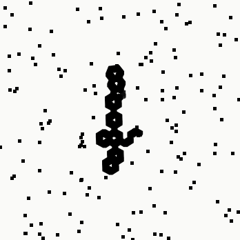 C/C=C\C=C/c1cc(-c2ccc(-c3ccc4c(c3)sc3cc5ccccc5cc34)cc2)c2ccccc2c1-c1ccc2ccccc2c1